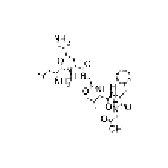 CC(C)CC(N)C(=O)NC(CCCCN)C(=O)NCC(=O)NC(C(=O)NC(Cc1ccccc1)C(=O)NCC(=O)O)C(C)C